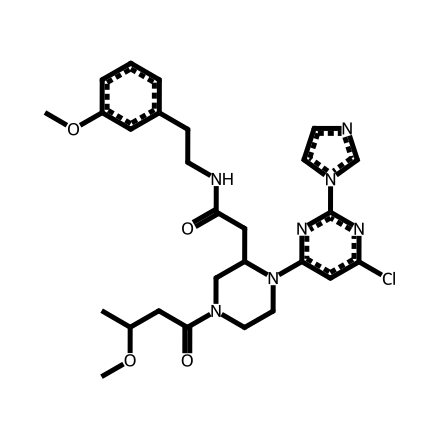 COc1cccc(CCNC(=O)CC2CN(C(=O)CC(C)OC)CCN2c2cc(Cl)nc(-n3ccnc3)n2)c1